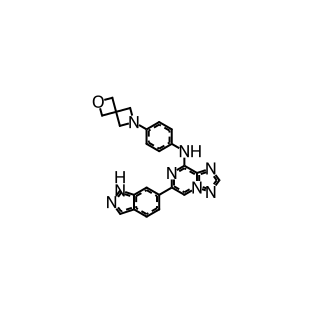 c1nc2c(Nc3ccc(N4CC5(COC5)C4)cc3)nc(-c3ccc4cn[nH]c4c3)cn2n1